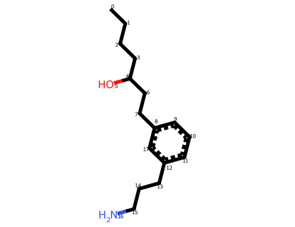 CCCCC(O)CCc1cccc(CCCN)c1